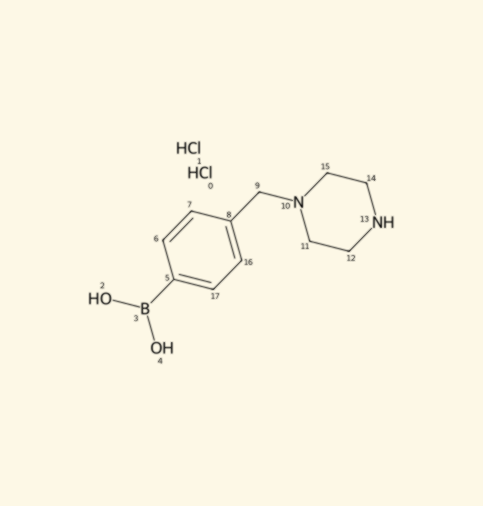 Cl.Cl.OB(O)c1ccc(CN2CCNCC2)cc1